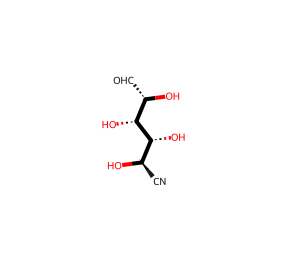 N#C[C@@H](O)[C@@H](O)[C@H](O)[C@@H](O)C=O